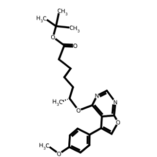 COc1ccc(-c2coc3ncnc(O[C@H](C)CCCCC(=O)OC(C)(C)C)c23)cc1